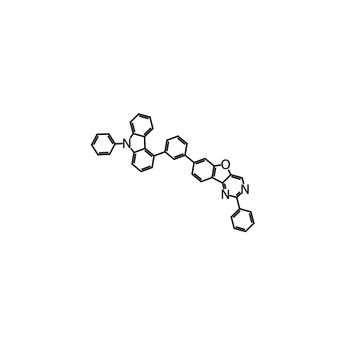 c1ccc(-c2ncc3oc4cc(-c5cccc(-c6cccc7c6c6ccccc6n7-c6ccccc6)c5)ccc4c3n2)cc1